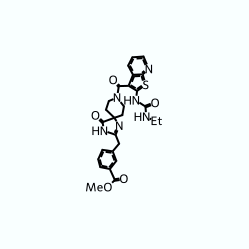 CCNC(=O)Nc1sc2ncccc2c1C(=O)N1CCC2(CC1)N=C(Cc1cccc(C(=O)OC)c1)NC2=O